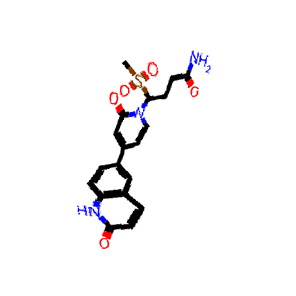 CS(=O)(=O)C(CCC(N)=O)n1ccc(-c2ccc3[nH]c(=O)ccc3c2)cc1=O